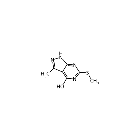 CSc1nc(O)c2c(C)n[nH]c2n1